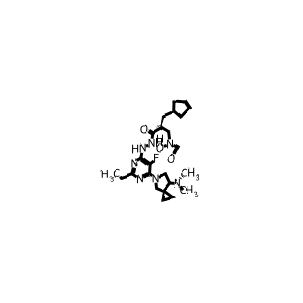 CCc1nc(NNC(=O)[C@@H](CC2CCCC2)CN(O)C=O)c(F)c(N2CC(N(C)C)C3(CC3)C2)n1